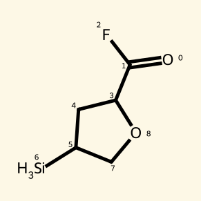 O=C(F)C1CC([SiH3])CO1